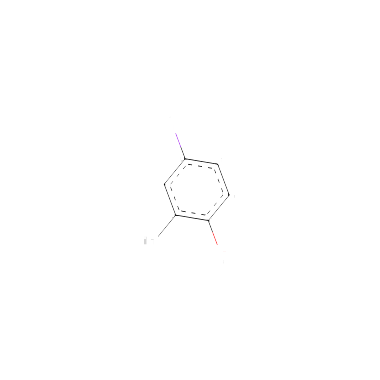 CC(C)c1cc(I)ccc1O